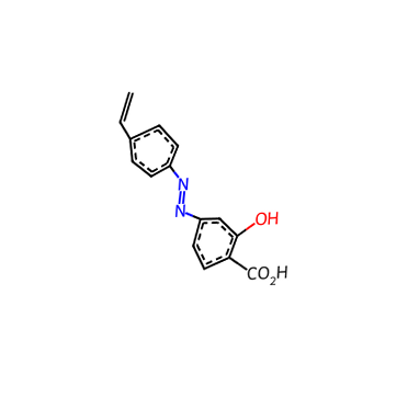 C=Cc1ccc(N=Nc2ccc(C(=O)O)c(O)c2)cc1